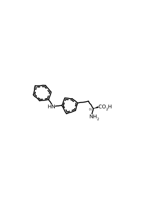 N[C@@H](Cc1ccc(Nc2ccccc2)cc1)C(=O)O